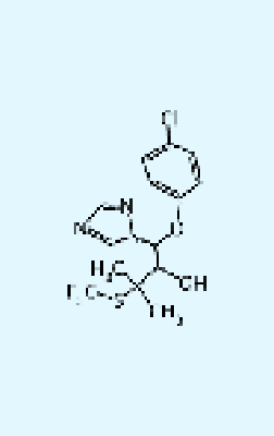 CC(C)(SC(F)(F)F)C(O)C(Oc1ccc(Cl)cc1)n1cncn1